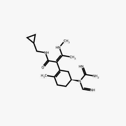 CN/C(C)=C(\C(=O)NCC1CC1)C1=C(C)CC[C@H](N(C=N)C(=N)N)C1